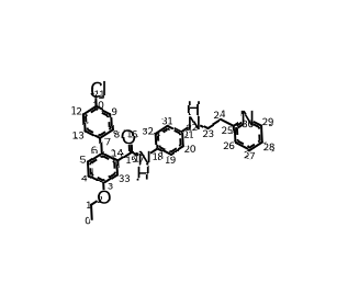 CCOc1ccc(-c2ccc(Cl)cc2)c(C(=O)Nc2ccc(NCCc3ccccn3)cc2)c1